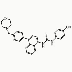 N#Cc1ccc(NC(=O)Nc2ccc(-c3ccc(CN4CCOCC4)nc3)c3ccccc23)cc1